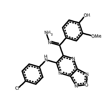 COc1cc(C(=NN)c2nc3nonc3nc2Nc2ccc(Cl)cc2)ccc1O